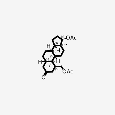 CC(=O)OC[C@H]1CC(=O)C[C@@H]2CC[C@H]3[C@@H]4CC[C@H](OC(C)=O)[C@@]4(C)CC[C@@H]3[C@]21C